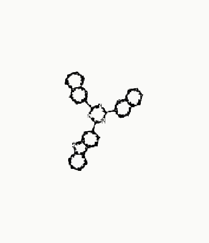 c1ccc2cc(-c3nc(-c4ccc5ccccc5c4)nc(-c4ccc5c(c4)sc4ccccc45)n3)ccc2c1